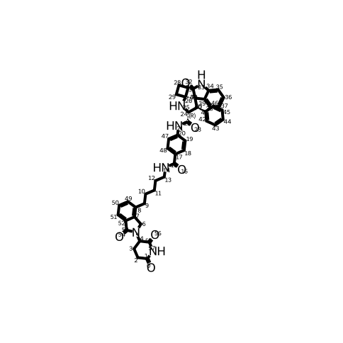 O=C1CCC(N2Cc3c(CCCCCNC(=O)c4ccc(NC(=O)[C@@H]5NC6(CCC6)[C@@]6(C(=O)Nc7ccccc76)[C@H]5c5ccccc5)cc4)cccc3C2=O)C(=O)N1